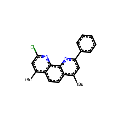 CC(C)(C)c1cc(Cl)nc2c1ccc1c(C(C)(C)C)cc(-c3ccccc3)nc12